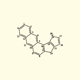 c1ccc2cc3c4c(ccc3cc2c1)Cc1ccsc1-4